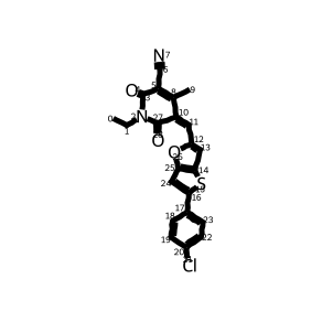 CCN1C(=O)C(C#N)=C(C)/C(=C/c2cc3sc(-c4ccc(Cl)cc4)cc3o2)C1=O